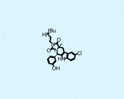 CC(C)(C)NCCN1C(=O)N2[C@H](c3cccc(O)c3)c3[nH]c4ccc(Cl)cc4c3C[C@@]2(C)C1=O